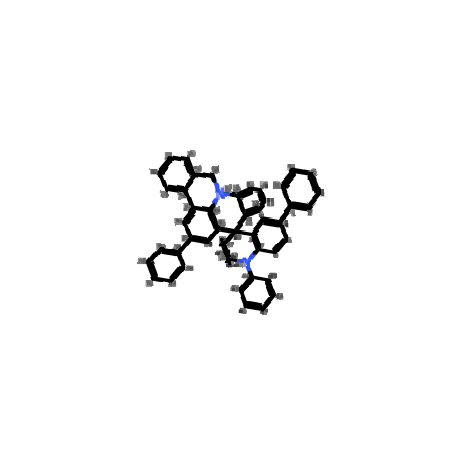 c1ccc(-c2ccc3c(c2)C2(c4ccccc4N4Cc5ccccc5-c5cc(-c6ccccc6)cc2c54)c2ccccc2N3c2ccccc2)cc1